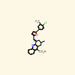 CC1C/C(=C\c2ccc(-c3ccc(Cl)c(C(F)(F)F)c3)o2)c2nc3ccccc3c(C(=O)O)c2C1